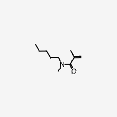 C=C(C)C(=O)N(C)CCCCC